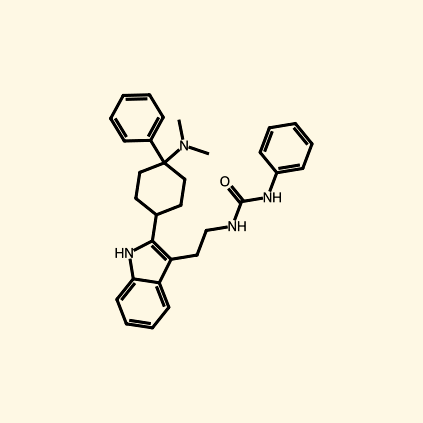 CN(C)C1(c2ccccc2)CCC(c2[nH]c3ccccc3c2CCNC(=O)Nc2ccccc2)CC1